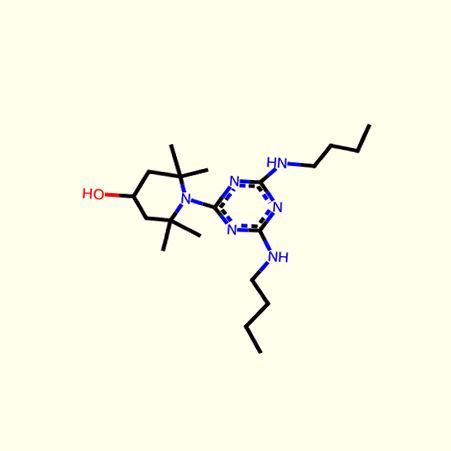 CCCCNc1nc(NCCCC)nc(N2C(C)(C)CC(O)CC2(C)C)n1